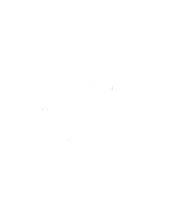 CC1O[C@]1(CCO[Si](c1ccccc1)(c1ccccc1)C(C)(C)C)CO[Si](c1ccccc1)(c1ccccc1)C(C)(C)C